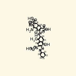 C=Nc1c(S(=O)(=O)O)cc2cc(S(=O)(=O)O)c(N=Nc3ccc4c(O)c(N=Nc5ccccc5)c(SOOO)cc4c3C)c(O)c2c1N